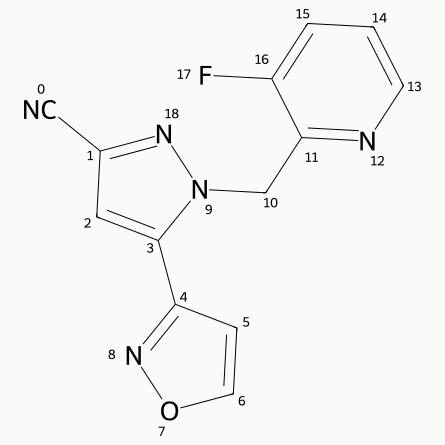 N#Cc1cc(-c2ccon2)n(Cc2ncccc2F)n1